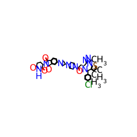 Cc1sc2c(c1C)C(c1ccc(Cl)cc1)=N[C@@H](CC(=O)N1CCN(C3CN(c4ccc5c(c4)C(=O)N(C4CCC(=O)NC4=O)C5=O)C3)CC1)c1nnc(C)n1-2